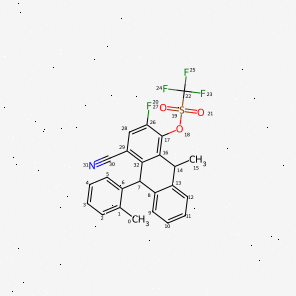 Cc1ccccc1C1c2ccccc2C(C)c2c(OS(=O)(=O)C(F)(F)F)c(F)cc(C#N)c21